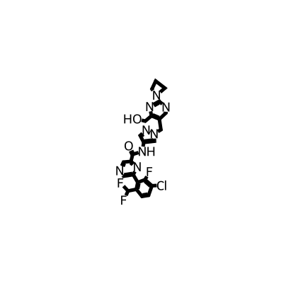 O=C(Nc1cnn(Cc2cnc(N3CCC3)nc2CO)c1)c1cncc(-c2c(C(F)F)ccc(Cl)c2F)n1